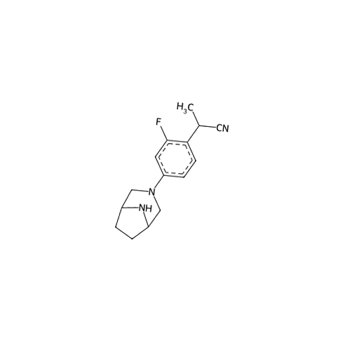 CC(C#N)c1ccc(N2CC3CCC(C2)N3)cc1F